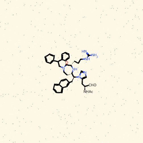 CC(=O)N[C@H](C=O)Cc1cncn1[C@@H](Cc1ccc2ccccc2c1)[C@@H]1CCN(CC(c2ccccc2)c2ccccc2)C(=O)[C@H](CCCNC(=N)N)N1